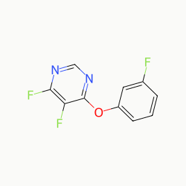 Fc1cccc(Oc2ncnc(F)c2F)c1